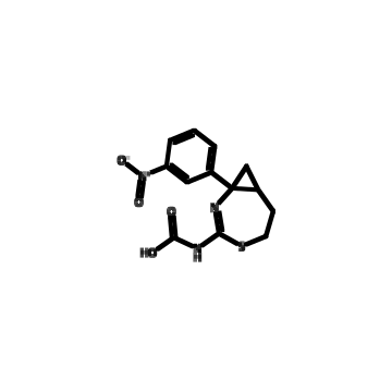 O=C(O)NC1=NC2(c3cccc([N+](=O)[O-])c3)CC2CCS1